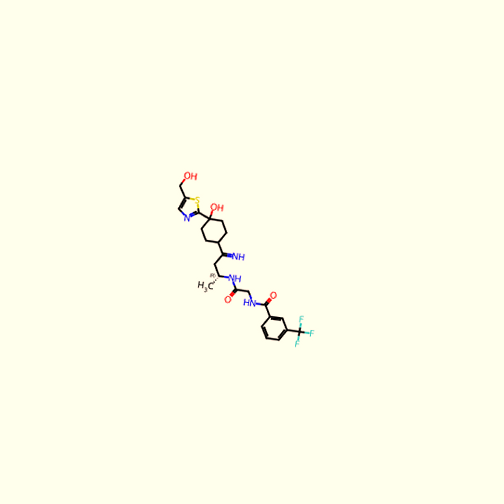 C[C@H](CC(=N)C1CCC(O)(c2ncc(CO)s2)CC1)NC(=O)CNC(=O)c1cccc(C(F)(F)F)c1